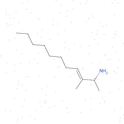 CCCCCCC/C=C(\C)C(C)N